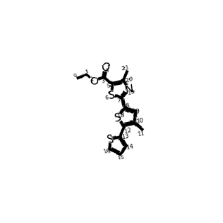 CCOC(=O)c1sc(-c2cc(C)c(-c3cccs3)s2)nc1C